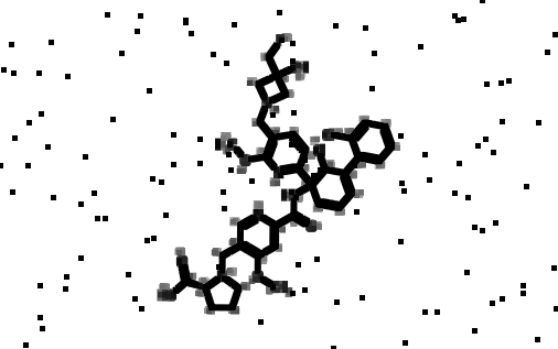 COc1cc(C(=O)NC2(c3ccc(CN4CC(O)(CF)C4)c(OC)n3)C=CC=C(c3ccccc3Cl)C2Cl)ncc1CN1CCC[C@H]1C(=O)O